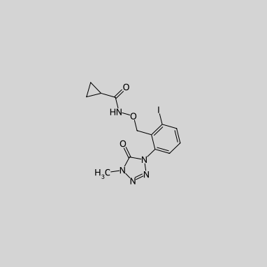 Cn1nnn(-c2cccc(I)c2CONC(=O)C2CC2)c1=O